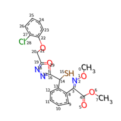 CON=C(C(=O)OC)c1ccccc1C(S)c1nnc(COc2ccccc2Cl)o1